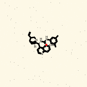 C=CC1CN2CCC1C[C@@H]2[C@H](NC(=S)Nc1cc(C)cc(C)c1)c1ccnc2ccc(OC)cc12